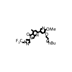 CCCCOCCOc1cc(-c2cc(C)c3c(n2)CN(c2cnn(CC(F)(F)F)c2)C3=O)cnc1OC